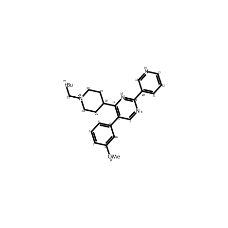 COc1cccc(-c2cnc(-c3cccnc3)nc2C2CCN(CC(C)(C)C)CC2)c1